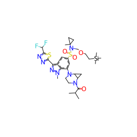 CC(C)C(=O)N1CCN(c2cc(S(=O)(=O)N(COCC[Si](C)(C)C)C3(C)CC3)cc3c(-c4nnc(C(F)F)s4)nn(C)c23)C2CC21